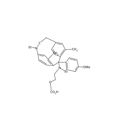 CCN1CCc2ccc(c(C)c2)C(c2ccc(OC)cc2)(N(CC)CCOC(=O)O)c2ccc1cc2C